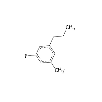 [CH2]c1cc(F)cc(CCC)c1